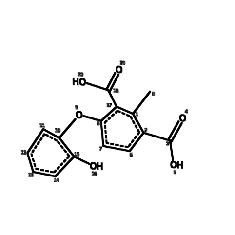 Cc1c(C(=O)O)ccc(Oc2ccccc2O)c1C(=O)O